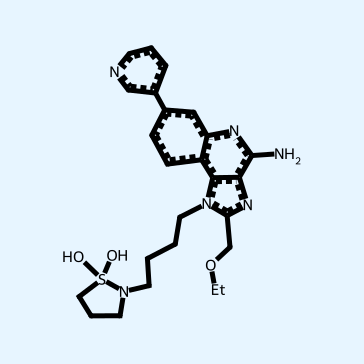 CCOCc1nc2c(N)nc3cc(-c4cccnc4)ccc3c2n1CCCCN1CCCS1(O)O